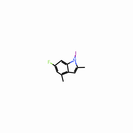 Cc1cc(F)cc2c1cc(C)n2I